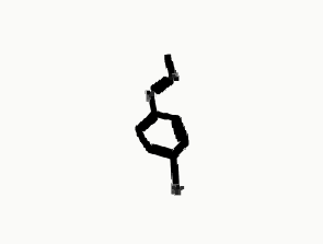 CN=Nc1ccc(Br)cc1